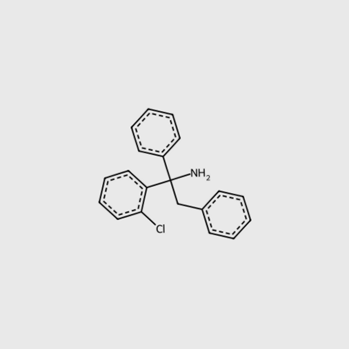 NC(Cc1ccccc1)(c1ccccc1)c1ccccc1Cl